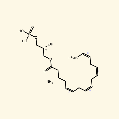 CCCCC/C=C\C/C=C\C/C=C\C/C=C\CCCC(=O)OC[C@@H](O)COP(=O)(O)O.N